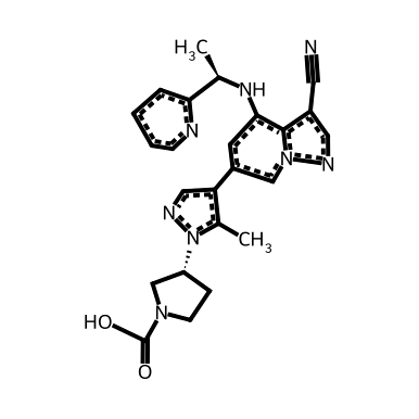 Cc1c(-c2cc(N[C@H](C)c3ccccn3)c3c(C#N)cnn3c2)cnn1[C@@H]1CCN(C(=O)O)C1